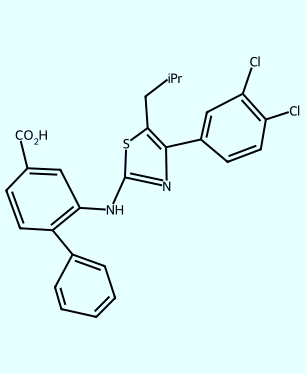 CC(C)Cc1sc(Nc2cc(C(=O)O)ccc2-c2ccccc2)nc1-c1ccc(Cl)c(Cl)c1